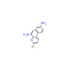 Nc1ccc2c(c1)cc(N)c1nc(Cl)ccc12